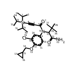 CC(C)[Si](C#CC(=O)N(c1ccc(OCC2CC2)c(Cl)c1)C(C(N)=O)C(C)(C)C)(C(C)C)C(C)C